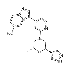 C[C@@H]1CN(c2nccc(-c3cnc4ccc(C(F)(F)F)cn34)n2)C[C@@H](c2cn[nH]c2)O1